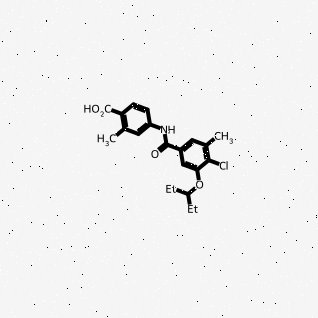 CCC(CC)Oc1cc(C(=O)Nc2ccc(C(=O)O)c(C)c2)cc(C)c1Cl